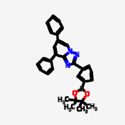 CC1(C)OB(c2cccc(-c3nc4c(-c5ccccc5)cc(-c5ccccc5)cn4n3)c2)OC1(C)C